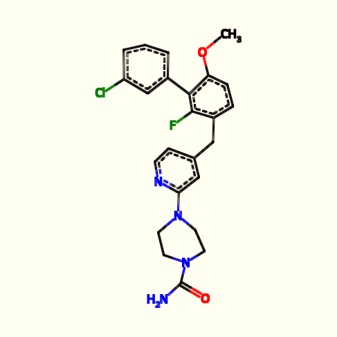 COc1ccc(Cc2ccnc(N3CCN(C(N)=O)CC3)c2)c(F)c1-c1cccc(Cl)c1